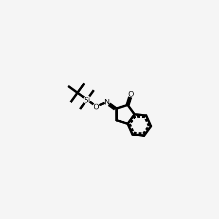 CC(C)(C)[Si](C)(C)O/N=C1\Cc2ccccc2C1=O